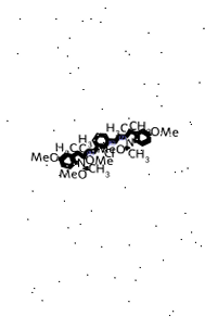 COc1ccc2c(c1)C(C)(C)/C(=C/C=C1\CCCC(/C=C/C3(OC)N(C(C)OC)c4ccc(OC)cc4C3(C)C)=C1Cl)N2C(C)OC